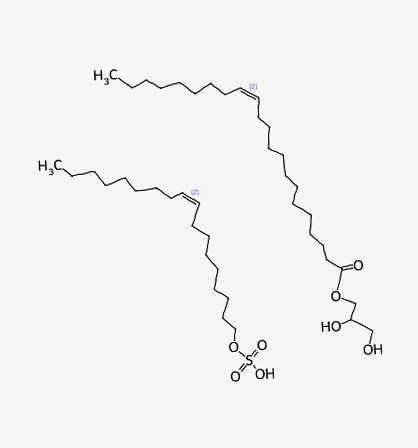 CCCCCCCC/C=C\CCCCCCCCCCCC(=O)OCC(O)CO.CCCCCCCC/C=C\CCCCCCCCOS(=O)(=O)O